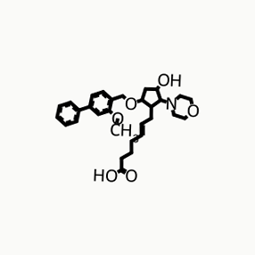 COc1cc(-c2ccccc2)ccc1COC1CC(O)C(N2CCOCC2)C1CC=CCCCC(=O)O